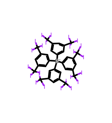 IC(I)(I)c1cc([B-](c2cc(C(I)(I)I)cc(C(I)(I)I)c2)(c2cc(C(I)(I)I)cc(C(I)(I)I)c2)c2cc(C(I)(I)I)cc(C(I)(I)I)c2)cc(C(I)(I)I)c1